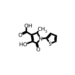 CC1C(C(=O)O)=C(O)C(=O)N1c1cccs1